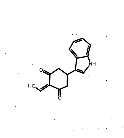 O=C1CC(c2c[nH]c3ccccc23)CC(=O)C1=CO